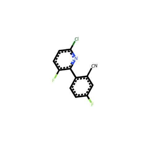 N#Cc1cc(F)ccc1-c1nc(Cl)ccc1F